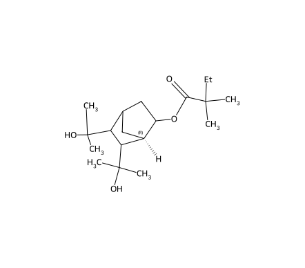 CCC(C)(C)C(=O)OC1CC2C[C@@H]1C(C(C)(C)O)C2C(C)(C)O